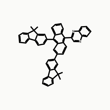 CC1(C)c2ccccc2-c2ccc(-c3ccc4c(-c5cnc6ccccc6n5)c5ccccc5c(-c5ccc6c(c5)C(C)(C)c5ccccc5-6)c4c3)cc21